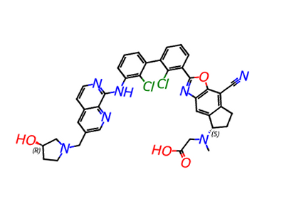 CN(CC(=O)O)[C@H]1CCc2c1cc1nc(-c3cccc(-c4cccc(Nc5nccc6cc(CN7CC[C@@H](O)C7)cnc56)c4Cl)c3Cl)oc1c2C#N